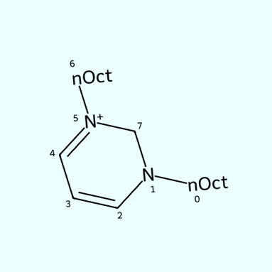 CCCCCCCCN1C=CC=[N+](CCCCCCCC)C1